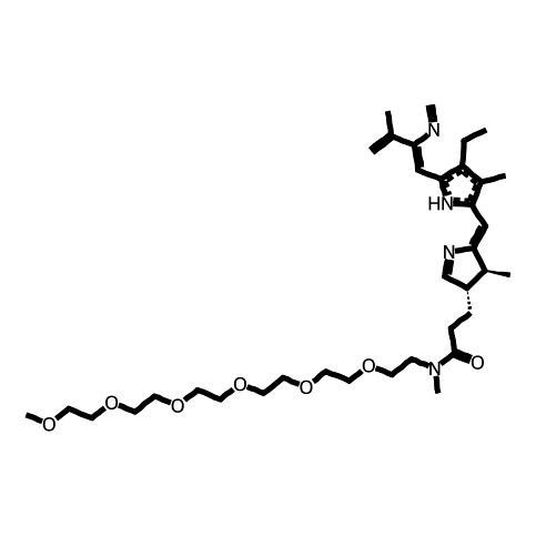 C=N/C(=C\c1[nH]c(/C=C2\N=C[C@@H](CCC(=O)N(C)CCOCCOCCOCCOCCOCCOC)[C@@H]2C)c(C)c1CC)C(=C)C